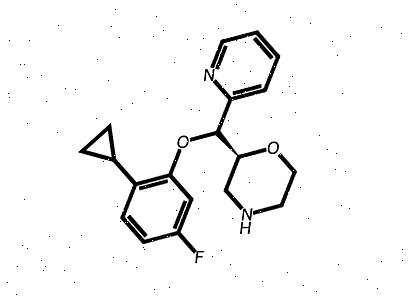 Fc1ccc(C2CC2)c(OC(c2ccccn2)[C@@H]2CNCCO2)c1